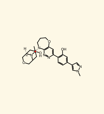 CB(O)N1C2COC[C@H]1C[C@H](N1CCCOc3cc(-c4ccc(-c5cnn(C)c5)cc4O)nnc31)C2